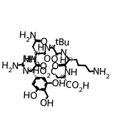 CC(C)(C)[C@H](NC(=O)[C@H](CC(N)=O)NC(=O)[C@@H](N=C(N)N)c1cc(O)c(CO)c(O)c1)C(=O)N[C@@H](CCCCN)C(=O)N[C@@H](CC(=O)O)C(=O)O